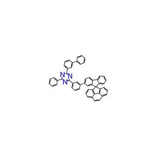 c1ccc(-c2cccc(-c3nc(-c4ccccc4)nc(-c4cccc(-c5ccc6c(c5)C5(c7ccccc7-6)c6cccc7ccc8cccc5c8c67)c4)n3)c2)cc1